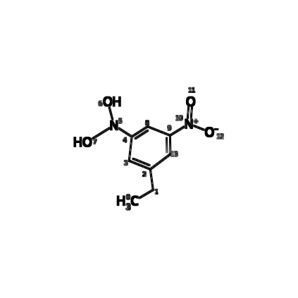 CCc1cc(N(O)O)cc([N+](=O)[O-])c1